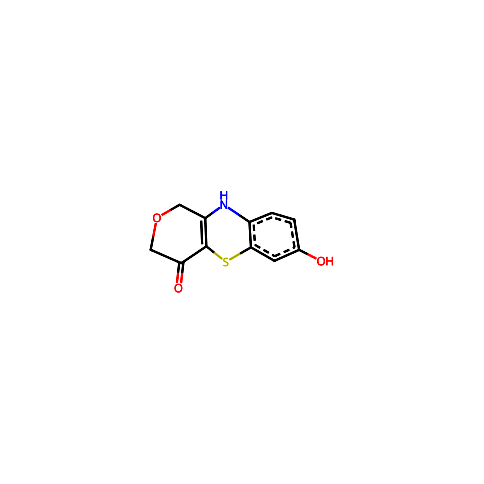 O=C1COCC2=C1Sc1cc(O)ccc1N2